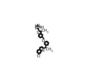 C=C(c1cccc(OCc2ccc3sc(-c4nnn[nH]4)c(C)c3c2)c1)c1ccc2ccc(Cl)cc2n1